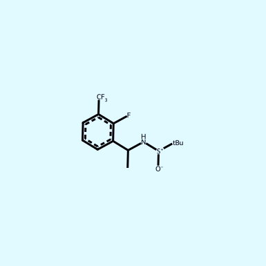 CC(N[S+]([O-])C(C)(C)C)c1cccc(C(F)(F)F)c1F